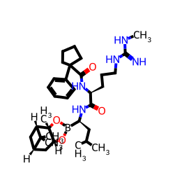 CNC(=N)NCCC[C@H](NC(=O)C1(c2ccccc2)CCCC1)C(=O)N[C@@H](CC(C)C)B1O[C@@H]2C[C@@H]3C[C@@H](C3(C)C)[C@]2(C)O1